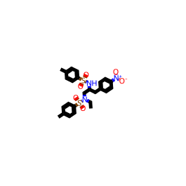 CCN(CC(Cc1ccc([N+](=O)[O-])cc1)NS(=O)(=O)c1ccc(C)cc1)S(=O)(=O)c1ccc(C)cc1